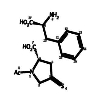 CC(=O)N1CC(=S)C[C@H]1C(=O)O.N[C@@H](Cc1ccccc1)C(=O)O